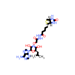 CC(C)C[C@H]1O[C@@H](n2cnc3c(N)ncnc32)C(O)N(OCC(=O)NNC(=O)CCCC[C@@H]2SC[C@@H]3NC(=O)N[C@@H]32)C1O